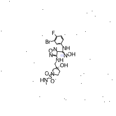 CNS(=O)(=O)N1CC[C@](O)(CNc2nonc2/C(=N/O)Nc2ccc(F)c(Br)c2)C1